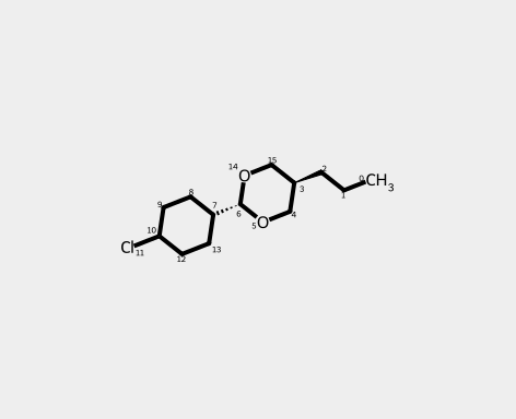 CCC[C@H]1CO[C@H](C2CCC(Cl)CC2)OC1